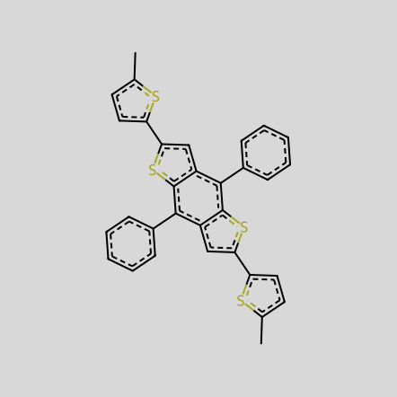 Cc1ccc(-c2cc3c(-c4ccccc4)c4sc(-c5ccc(C)s5)cc4c(-c4ccccc4)c3s2)s1